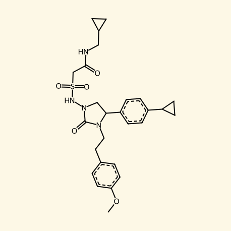 COc1ccc(CCN2C(=O)N(NS(=O)(=O)CC(=O)NCC3CC3)CC2c2ccc(C3CC3)cc2)cc1